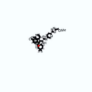 COCc1nnc([C@@H]2CC[C@@H](NC(=O)[C@@H]3NC4(CCC(C)(C)CC4)[C@@]4(C(=O)Nc5cc(Cl)ccc54)[C@H]3c3ccnc(Cl)c3F)CO2)o1